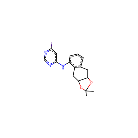 CC1(C)OC2Cc3cccc(Nc4cc(I)ncn4)c3CC2O1